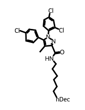 CCCCCCCCCCCCCCCCNC(=O)c1nn(-c2ccc(Cl)cc2Cl)c(-c2ccc(Cl)cc2)c1C